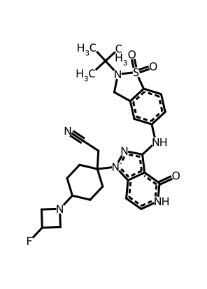 CC(C)(C)N1Cc2cc(Nc3nn(C4(CC#N)CCC(N5CC(F)C5)CC4)c4cc[nH]c(=O)c34)ccc2S1(=O)=O